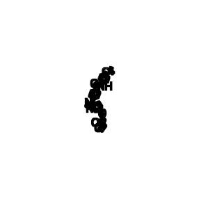 CC(C)Oc1ccc(NC(=O)N2CCC(c3ncnc4cc(OCCN5CCOC5=O)ccc34)CC2)cc1